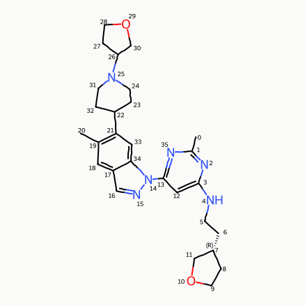 Cc1nc(NCC[C@@H]2CCOC2)cc(-n2ncc3cc(C)c(C4CCN(C5CCOC5)CC4)cc32)n1